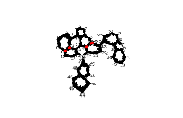 c1ccc(-c2cccc3cccc(-c4ccccc4N(c4ccc(-c5cccc6sc7ccccc7c56)cc4)c4ccc5ccccc5c4)c23)cc1